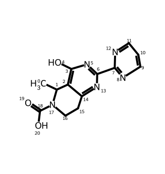 CC1c2c(O)nc(-c3ncccn3)nc2CCN1C(=O)O